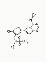 CS(=O)(=O)N(Cc1cc(-c2ccc3ncnc(NC4CC4)c3c2)ccc1Cl)C1CC1